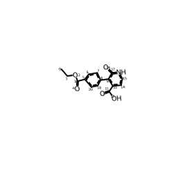 CCOC(=O)c1ccc(-c2c(C(=O)O)cc[nH]c2=O)cc1